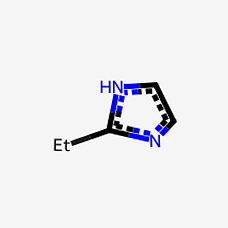 [CH]Cc1ncc[nH]1